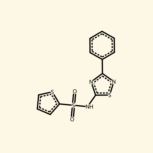 O=S(=O)(Nc1nc(-c2ccccc2)ns1)c1cccs1